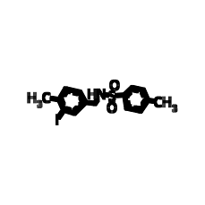 Cc1ccc(S(=O)(=O)NCc2ccc(C)c(I)c2)cc1